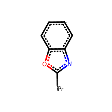 CC(C)c1nc2c[c]ccc2o1